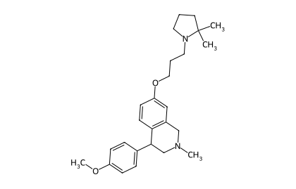 COc1ccc(C2CN(C)Cc3cc(OCCCN4CCCC4(C)C)ccc32)cc1